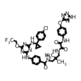 CC(C)(CNC(=O)C(=O)Nc1ccc(Oc2nn[nH]n2)cc1)CNC(=O)c1ccc(Nc2nc(NC3(c4ccc(Cl)cc4)CC3)nc(OCC(F)(F)F)n2)cc1